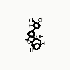 CCc1ccc(-c2ccc(Cl)c(Cl)c2F)cc1/C1=C(\O)C[C@H]2CC[C@H](CC2)CC1=O